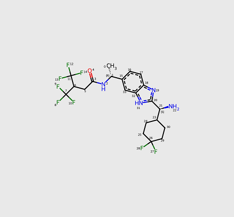 C[C@@H](NC(=O)CC(C(F)(F)F)C(F)(F)F)c1ccc2nc([C@@H](N)C3CCC(F)(F)CC3)[nH]c2c1